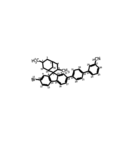 CC1CC2CC(C)C3(c4cc(Br)ccc4-c4ccc(-c5ccc(-c6cccc(C#N)c6)cc5)cc43)C(C1)C2